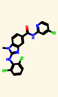 Cn1c(Nc2c(Cl)cccc2Cl)nc2cc(C(=O)Nc3cc(Cl)ccn3)ccc21